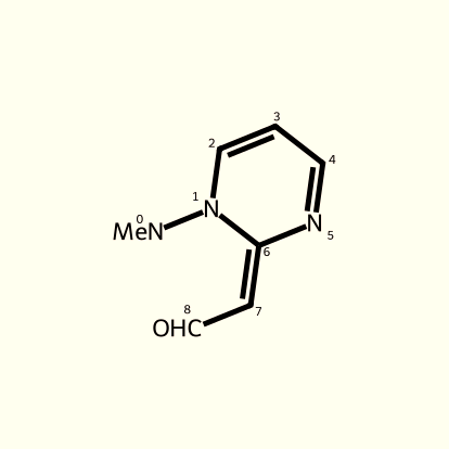 CNN1C=CC=N/C1=C/C=O